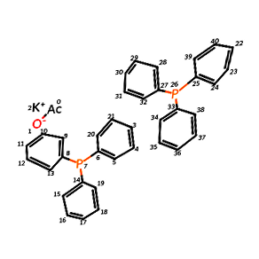 CC(=O)[O-].[K+].c1ccc(P(c2ccccc2)c2ccccc2)cc1.c1ccc(P(c2ccccc2)c2ccccc2)cc1